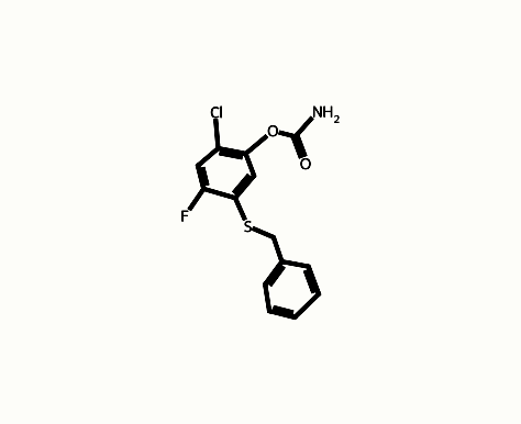 NC(=O)Oc1cc(SCc2ccccc2)c(F)cc1Cl